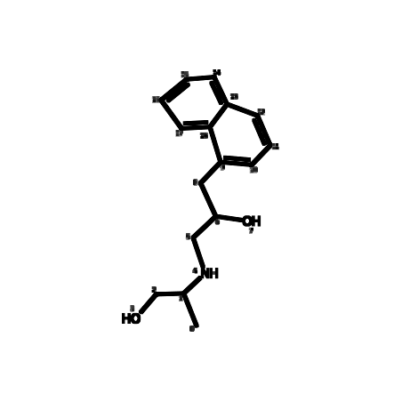 CC(CO)NCC(O)Cc1cccc2ccccc12